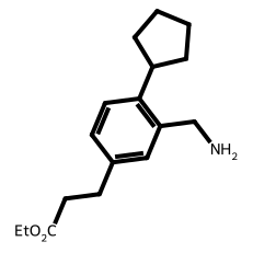 CCOC(=O)CCc1ccc(C2CCCC2)c(CN)c1